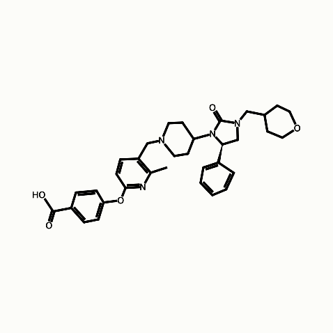 Cc1nc(Oc2ccc(C(=O)O)cc2)ccc1CN1CCC(N2C(=O)N(CC3CCOCC3)C[C@H]2c2ccccc2)CC1